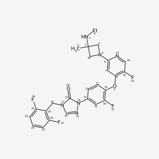 CCNC1(C)CN(c2cc(Oc3ccc(-n4ncn(Cc5c(F)cccc5F)c4=O)cc3F)c(F)cn2)C1